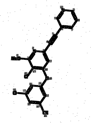 COc1nc(C#Cc2cccnc2)cc(Oc2cc(Cl)cc(C#N)c2)c1Cl